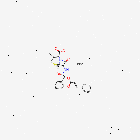 CC1=C(C(=O)[O-])N2C(=O)C(NC(=O)C(OC(=O)C=Cc3ccccc3)c3ccccc3)[C@@H]2SC1.[Na+]